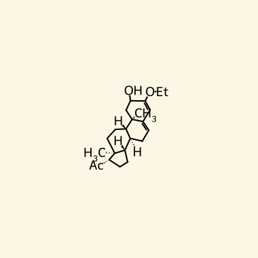 CCOC1=CC2=CC[C@H]3[C@@H]4CC[C@H](C(C)=O)[C@@]4(C)CC[C@@H]3[C@@]2(C)CC1O